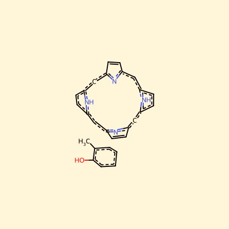 C1=Cc2cc3ccc(cc4nc(cc5ccc(cc1n2)[nH]5)C=C4)[nH]3.Cc1ccccc1O